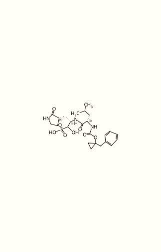 CC(C)C[C@H](NC(=O)OC1(Cc2ccccc2)CC1)C(=O)N[C@@H](C[C@@H]1CCNC1=O)C(O)S(=O)(=O)O